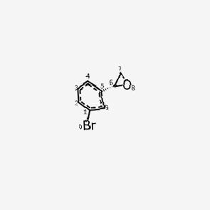 Brc1cccc([C@@H]2CO2)c1